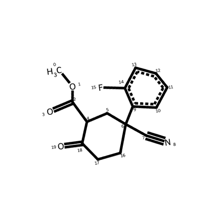 COC(=O)C1CC(C#N)(c2ccccc2F)CCC1=O